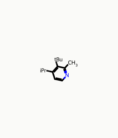 Cc1nccc(C(C)C)c1C(C)(C)C